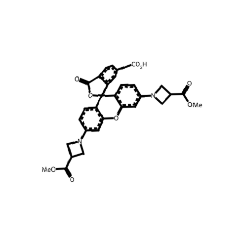 COC(=O)C1CN(c2ccc3c(c2)Oc2cc(N4CC(C(=O)OC)C4)ccc2C32OC(=O)c3ccc(C(=O)O)cc32)C1